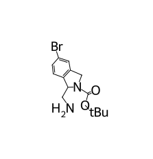 CC(C)(C)OC(=O)N1Cc2cc(Br)ccc2C1CN